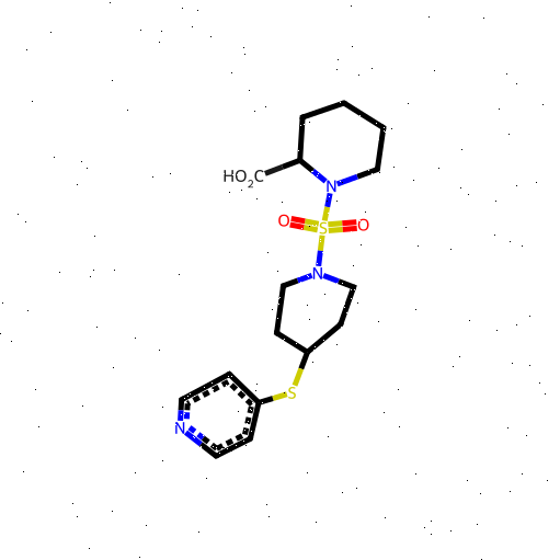 O=C(O)C1CCCCN1S(=O)(=O)N1CCC(Sc2ccncc2)CC1